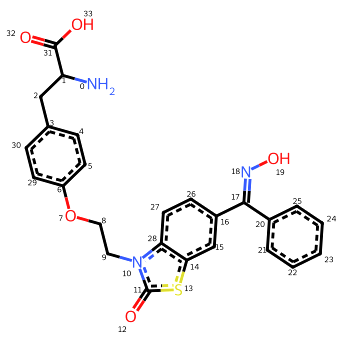 NC(Cc1ccc(OCCn2c(=O)sc3cc(/C(=N/O)c4ccccc4)ccc32)cc1)C(=O)O